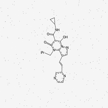 CC(C)Cn1c(=O)c(C(=O)NC2CC2)c(O)n2ncc(/C=C/c3cnccn3)c12